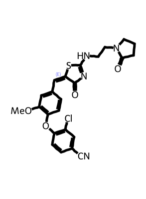 COc1cc(/C=C2/SC(NCCN3CCCC3=O)=NC2=O)ccc1Oc1ccc(C#N)cc1Cl